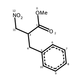 COC(=O)C(Cc1ccccc1)C[N+](=O)[O-]